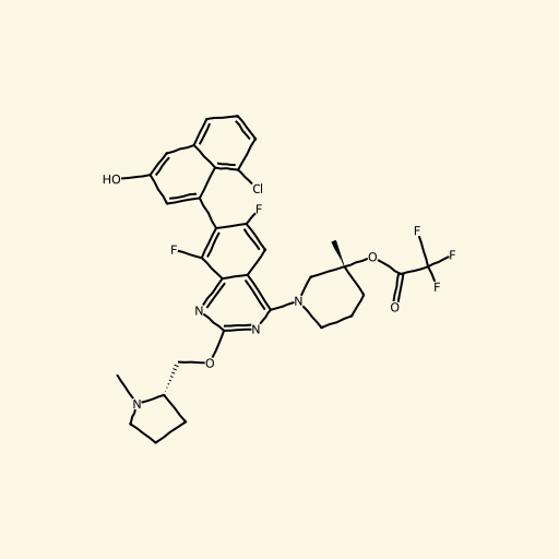 CN1CCC[C@H]1COc1nc(N2CCC[C@@](C)(OC(=O)C(F)(F)F)C2)c2cc(F)c(-c3cc(O)cc4cccc(Cl)c34)c(F)c2n1